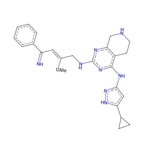 CO/C(=C\C(=N)c1ccccc1)CNc1nc2c(c(Nc3cc(C4CC4)[nH]n3)n1)CCNC2